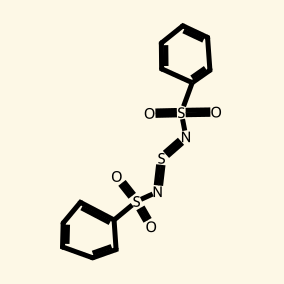 O=S(=O)(N=S=NS(=O)(=O)c1ccccc1)c1ccccc1